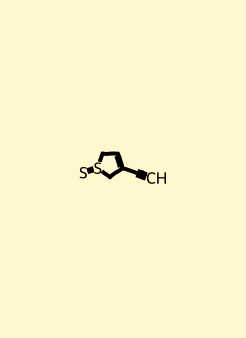 C#CC1=CCS(=S)C1